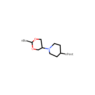 CCCCCC1CCN(C2COC(CCCC)OC2)CC1